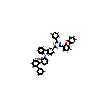 c1ccc(-c2nc(-c3ccc4c(c3)c3ccccc3n4-c3cccc4c3oc3cccc(-c5ccccc5)c34)nc(-c3cccc4c3oc3ccccc34)n2)cc1